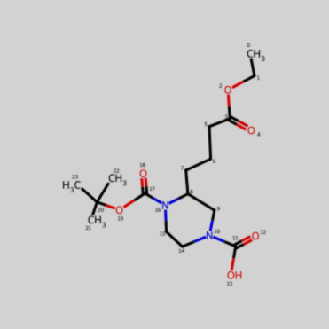 CCOC(=O)CCCC1CN(C(=O)O)CCN1C(=O)OC(C)(C)C